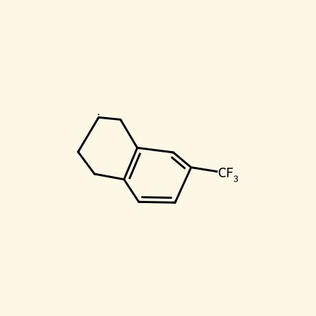 FC(F)(F)c1ccc2c(c1)C[CH]CC2